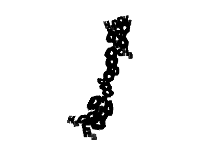 CC1c2cc3oc4cc5c(cc4c3cc2C=CC1N(c1ccccc1)c1cccc2c1oc1c(C(C)(C)C)cccc12)oc1cc2cc(N(c3ccccc3)c3cccc4c3oc3c(C(C)(C)C)cccc34)ccc2cc15